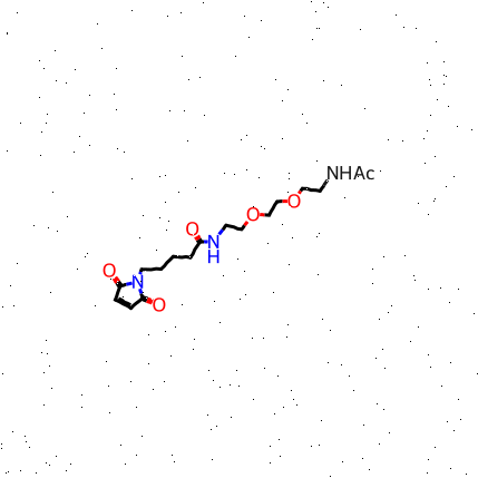 CC(=O)NCCOCCOCCNC(=O)CCCCN1C(=O)C=CC1=O